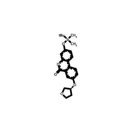 CC(C)(C)[Si](C)(C)Oc1ccc2c(c1)oc(=O)c1cc(O[C@H]3CCOC3)ccc12